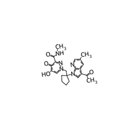 CNC(=O)c1nn(CC2(n3cc(C(C)=O)c4cc(C)cnc43)CCCC2)cc(O)c1=O